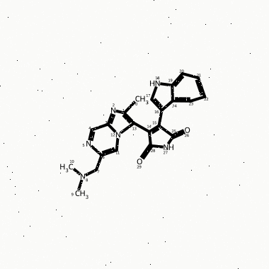 Cc1nc2cnc(CN(C)C)cn2c1C1=C(c2c[nH]c3ccccc23)C(=O)NC1=O